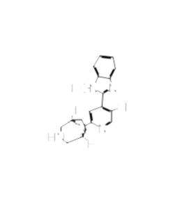 Cn1c(-c2cc(N3[C@@H]4CC[C@H]3CNC4)ncc2Cl)nc2ccccc21